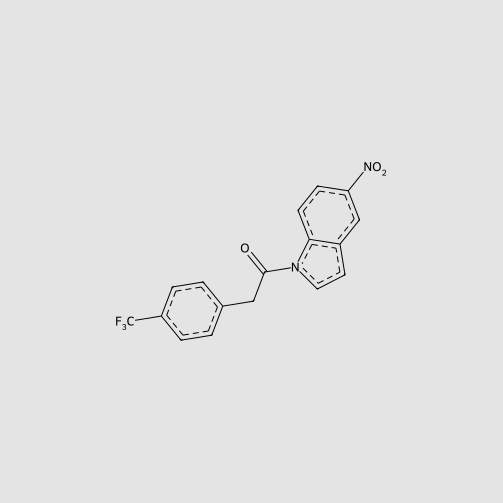 O=C(Cc1ccc(C(F)(F)F)cc1)n1ccc2cc([N+](=O)[O-])ccc21